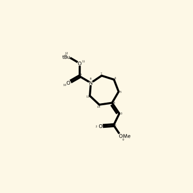 COC(=O)/C=C1/CCCN(C(=O)OC(C)(C)C)CC1